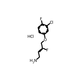 Cl.NC/C=C(\F)COc1ccc(F)c(Cl)c1